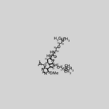 COc1ncnc(OC2CC2)c1-c1cn(COCC[Si](C)(C)C)c2nc(NC(=O)NCCOCCN(C)C)ccc12